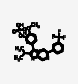 COc1ccc(-c2c(C(C)C)nc3cnc(-c4cccc(C(F)(F)F)c4)cn23)cc1OP(=O)(O)O